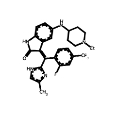 CCN1CCC(Nc2ccc3c(c2)/C(=C(/c2nc(C)c[nH]2)c2ccc(C(F)(F)F)cc2F)C(=O)N3)CC1